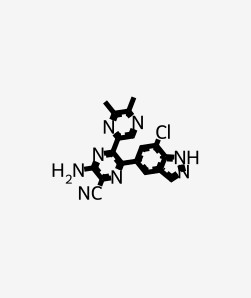 Cc1ncc(-c2nc(N)c(C#N)nc2-c2cc(Cl)c3[nH]ncc3c2)nc1C